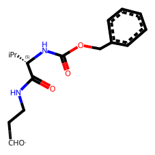 CC(C)[C@H](NC(=O)OCc1ccccc1)C(=O)NCC[C]=O